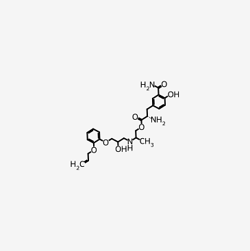 C=CCOc1ccccc1OCC(O)CNC(C)COC(=O)[C@@H](N)Cc1ccc(O)c(C(N)=O)c1